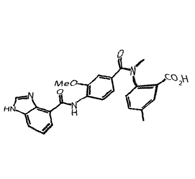 COc1cc(C(=O)N(C)c2ccc(C)cc2C(=O)O)ccc1NC(=O)c1cccc2[nH]cnc12